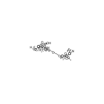 Cc1ncsc1-c1ccc(CNC(=O)[C@@H]2C[C@@H](O)CN2C(O)[C@@H](NC(=O)COCCCOCCCCCOc2ccc(N3C(=O)N(c4ccc(C#N)c(C(F)(F)F)c4)C(=O)C3(C)C)cc2)C(C)(C)C)cc1